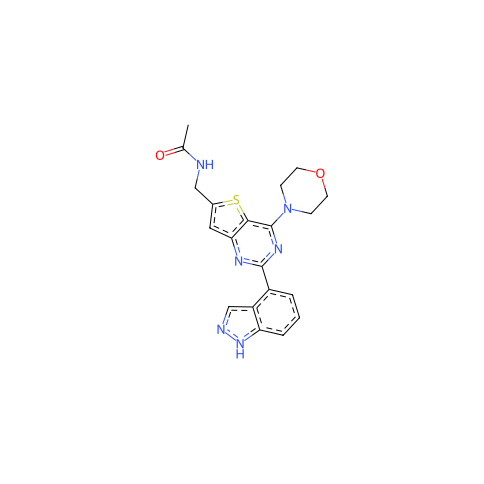 CC(=O)NCc1cc2nc(-c3cccc4[nH]ncc34)nc(N3CCOCC3)c2s1